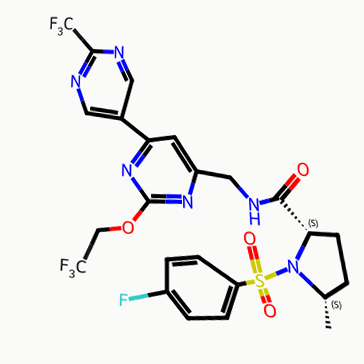 C[C@H]1CC[C@@H](C(=O)NCc2cc(-c3cnc(C(F)(F)F)nc3)nc(OCC(F)(F)F)n2)N1S(=O)(=O)c1ccc(F)cc1